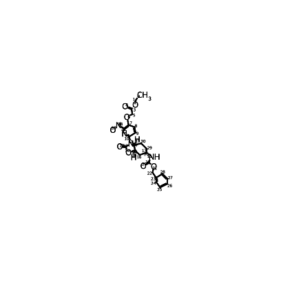 CCOC(=O)COc1ccc(N2C(=O)O[C@@H]3C[C@H](NC(=O)OCc4ccccc4)CC[C@H]32)nc1N=O